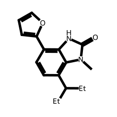 CCC(CC)c1ccc(-c2ccco2)c2[nH]c(=O)n(C)c12